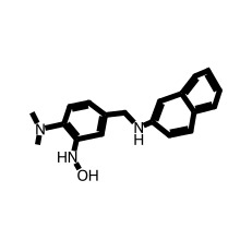 CN(C)c1ccc(CNc2ccc3ccccc3c2)cc1NO